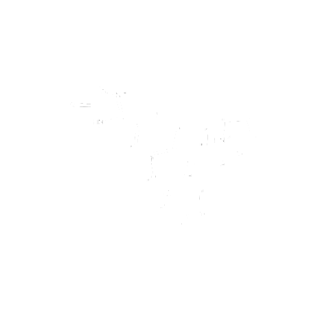 S=c1[nH]c(-c2ccc3c(c2)Oc2ccccc2C3=C2CC3CCC(C2)N3)no1